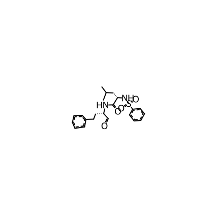 CC(C)C[C@H](NS(=O)(=O)c1ccccc1)C(=O)N[C@H](C=O)CCc1ccccc1